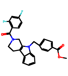 COC(=O)c1ccc(Cn2c3c(c4ccccc42)CCN(C(=O)c2ccc(F)cc2F)C3)cc1